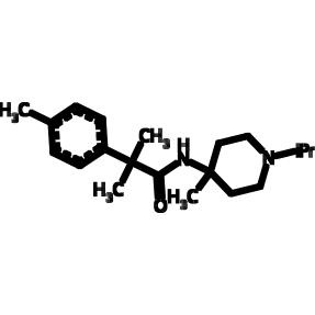 Cc1ccc(C(C)(C)C(=O)NC2(C)CCN(C(C)C)CC2)cc1